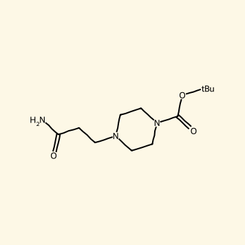 CC(C)(C)OC(=O)N1CCN(CCC(N)=O)CC1